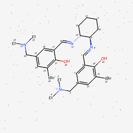 CCN(CC)Cc1cc(C=N[C@@H]2CCCC[C@H]2N=Cc2cc(CN(CC)CC)cc(C(C)(C)C)c2O)c(O)c(C(C)(C)C)c1